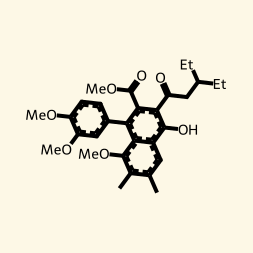 CCC(CC)CC(=O)c1c(C(=O)OC)c(-c2ccc(OC)c(OC)c2)c2c(OC)c(C)c(C)cc2c1O